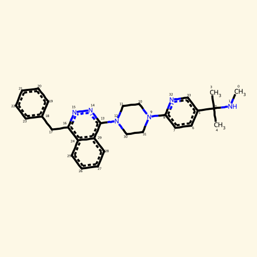 CNC(C)(C)c1ccc(N2CCN(c3nnc(Cc4ccccc4)c4ccccc34)CC2)nc1